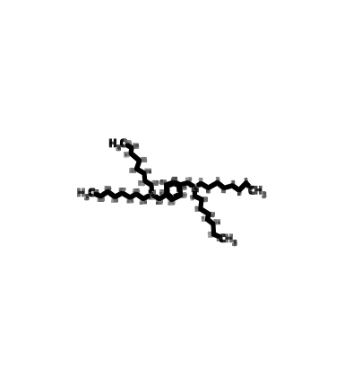 CCCCCCCCN(CCCCCCCC)Cc1ccc(CN(CCCCCCCC)CCCCCCCC)cc1